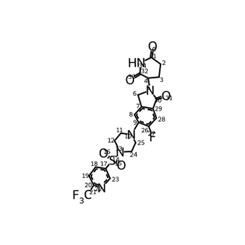 O=C1CCC(N2Cc3cc(N4CCN(S(=O)(=O)c5ccc(C(F)(F)F)nc5)CC4)c(F)cc3C2=O)C(=O)N1